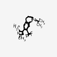 Cc1nn(C)cc1-c1cc2c(cc1C(F)F)N(C(C)C)CCC2